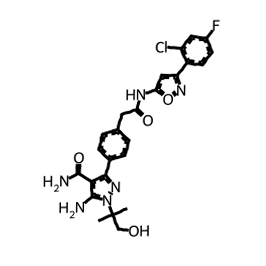 CC(C)(CO)n1nc(-c2ccc(CC(=O)Nc3cc(-c4ccc(F)cc4Cl)no3)cc2)c(C(N)=O)c1N